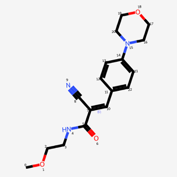 COCCNC(=O)/C(C#N)=C/c1ccc(N2CCOCC2)cc1